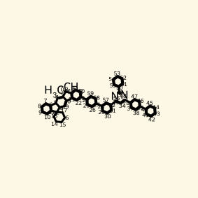 CC1(C)C2=CC3c4ccccc4C4(CCCCC4)C3C=C2c2cc(-c3ccc(-c4cccc(-c5cc(-c6ccc(-c7ccccc7)cc6)nc(-c6ccccc6)n5)c4)cc3)ccc21